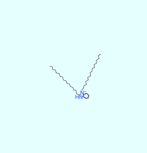 CCCCCCCCCCCCCCCCCC[n+]1c(CCCCCCCCCCCCCCCCC)[nH]c2ccccc21